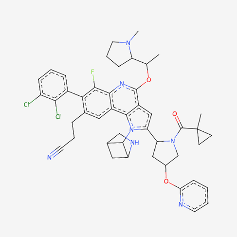 CC(Oc1nc2c(F)c(-c3cccc(Cl)c3Cl)c(CCC#N)cc2c2c1cc(C1CC(Oc3ccccn3)CN1C(=O)C1(C)CC1)n2C1C2CNC1C2)C1CCCN1C